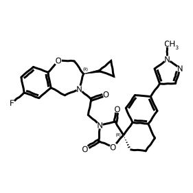 Cn1cc(-c2ccc3c(c2)CCC[C@@]32OC(=O)N(CC(=O)N3Cc4cc(F)ccc4OC[C@H]3C3CC3)C2=O)cn1